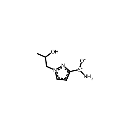 CC(O)Cn1ccc([S+](N)[O-])n1